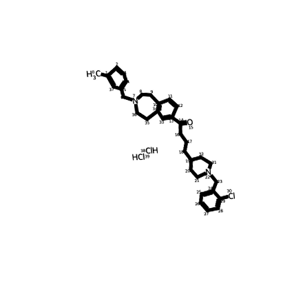 Cc1cccc(CN2CCc3ccc(C(=O)CCCC4CCN(Cc5ccccc5Cl)CC4)cc3CC2)c1.Cl.Cl